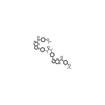 CC(C)Oc1ccc(Nc2ncc3ccn(-c4ccc(C(C)C(=O)C(C)c5ccc(-n6ccc7cnc(Nc8ccc(OC(C)C)cc8)nc76)cc5)cc4)c3n2)cc1